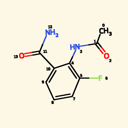 CC(=O)Nc1c(F)cccc1C(N)=O